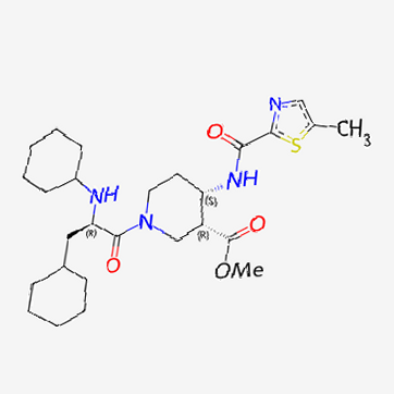 COC(=O)[C@@H]1CN(C(=O)[C@@H](CC2CCCCC2)NC2CCCCC2)CC[C@@H]1NC(=O)c1ncc(C)s1